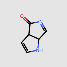 O=C1N=CC2NC=CC12